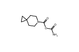 NC(=O)OC(=O)N1CCC2(CC1)CC2